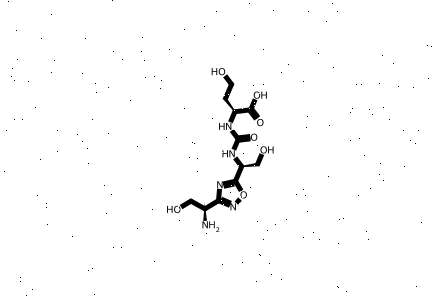 N[C@@H](CO)c1noc([C@H](CO)NC(=O)N[C@@H](CCO)C(=O)O)n1